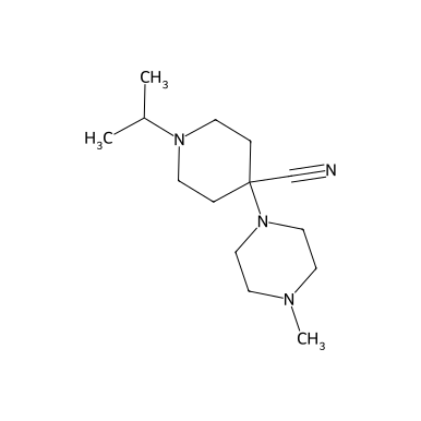 CC(C)N1CCC(C#N)(N2CCN(C)CC2)CC1